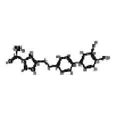 NC(=O)c1noc([CH]Cc2ccc(-c3ccc(F)c(F)c3)cc2)n1